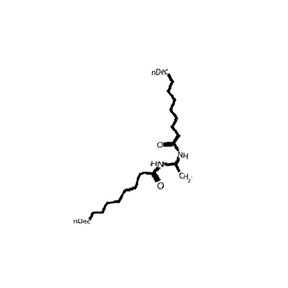 [CH2]C(NC(=O)CCCCCCCCCCCCCCCCC)NC(=O)CCCCCCCCCCCCCCCCC